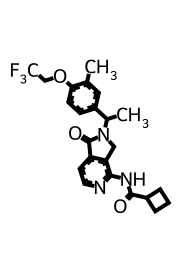 Cc1cc(C(C)N2Cc3c(ccnc3NC(=O)C3CCC3)C2=O)ccc1OCC(F)(F)F